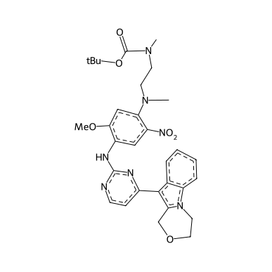 COc1cc(N(C)CCN(C)C(=O)OC(C)(C)C)c([N+](=O)[O-])cc1Nc1nccc(-c2c3n(c4ccccc24)CCOC3)n1